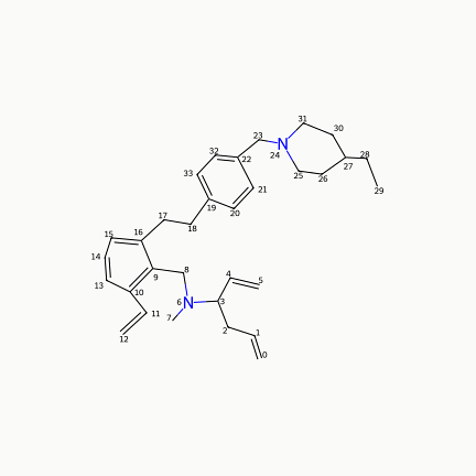 C=CCC(C=C)N(C)Cc1c(C=C)cccc1CCc1ccc(CN2CCC(CC)CC2)cc1